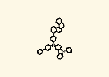 c1ccc(-c2ccc(N(c3ccc(-c4cccc5c4ccc4ccc6ccccc6c45)cc3)c3ccc4c(c3)c3ccccc3n4-c3ccccc3)cc2)cc1